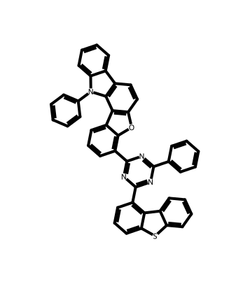 c1ccc(-c2nc(-c3cccc4c3oc3ccc5c6ccccc6n(-c6ccccc6)c5c34)nc(-c3cccc4sc5ccccc5c34)n2)cc1